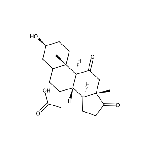 CC(=O)O.C[C@]12CC[C@H](O)CC1CC[C@@H]1[C@@H]2C(=O)C[C@]2(C)C(=O)CC[C@@H]12